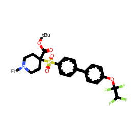 CCN1CCC(C(=O)OC(C)(C)C)(S(=O)(=O)c2ccc(-c3ccc(OC(F)(F)C(F)F)cc3)cc2)CC1